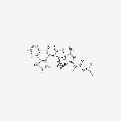 CCCCC1=NC(N(C)C(=O)C=C(C)C)=C(C(=O)OCC)[N+]1(Cc1ccc(-c2ccccc2-c2nnn[nH]2)cc1)OC(=O)OCC